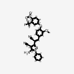 COc1cc(C=C(C#N)c2nn(-c3ccccc3)c(N)c2C#N)ccc1Oc1ccc([N+](=O)[O-])c(C(F)(F)F)c1